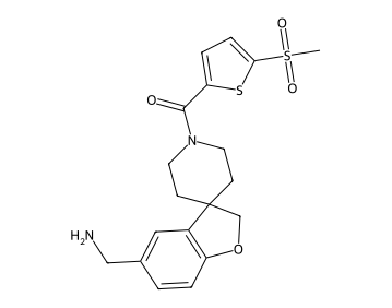 CS(=O)(=O)c1ccc(C(=O)N2CCC3(CC2)COc2ccc(CN)cc23)s1